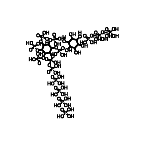 O=P(O)(O)O.O=P(O)(O)O.O=P(O)(O)O.O=P(O)(O)O.O=P(O)(O)O.O=P(O)(O)O.O=P(O)(O)O.O=P(O)(O)OC1C(OP(=O)(O)O)C(OP(=O)(O)O)C(OP(=O)(O)OP(=O)(O)O)C(OP(=O)(O)O)C1OP(=O)(O)O.OC1C(O)C(O)C(O)C(O)C1O